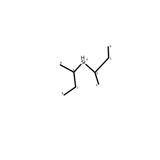 CCC(C)[SiH]C(C)CC